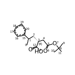 CC(C[C@H](CC(=O)OC(C)(C)C)C(=O)O)c1ccccc1